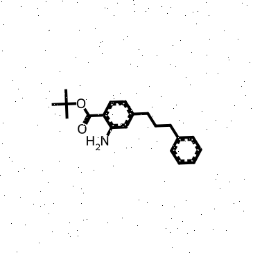 CC(C)(C)OC(=O)c1ccc(CCCc2ccccc2)cc1N